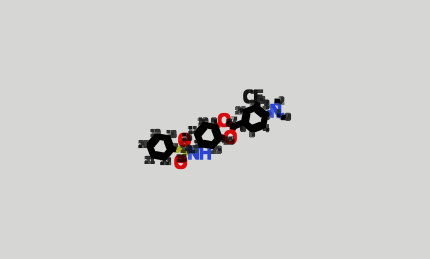 CN(C)c1ccc(C2Oc3ccc(NS(=O)(=O)c4ccccc4)cc3O2)cc1C(F)(F)F